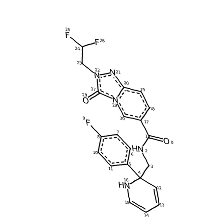 O=C(NCC1(c2ccc(F)cc2)C=CC=CN1)c1ccc2nn(CC(F)F)c(=O)n2c1